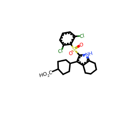 O=C(O)C1CCC(c2c(S(=O)(=O)c3c(Cl)cccc3Cl)[nH]c3c2CCCC3)CC1